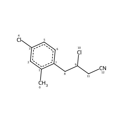 Cc1cc(Cl)ccc1CC(Cl)CC#N